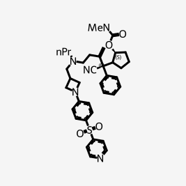 C=C(CCN(CCC)CC1CN(c2ccc(S(=O)(=O)c3ccncc3)cc2)C1)[C@@](C#N)(c1ccccc1)C1CCC[C@@H]1OC(=O)NC